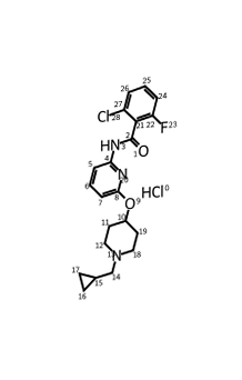 Cl.O=C(Nc1cccc(OC2CCN(CC3CC3)CC2)n1)c1c(F)cccc1Cl